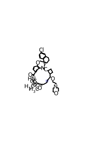 CC[C@H]1[C@@H](OC)C/C=C/C(OCCN2CCOCC2)C2CCC2CN2C[C@@]3(CCCc4cc(Cl)ccc43)COc3ccc(cc32)C(=O)NS1(=O)=O